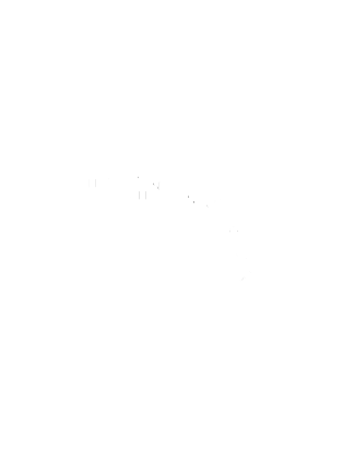 CCC(C)(C)N1CCN(C(=O)COc2ccc(F)cc2)CC1